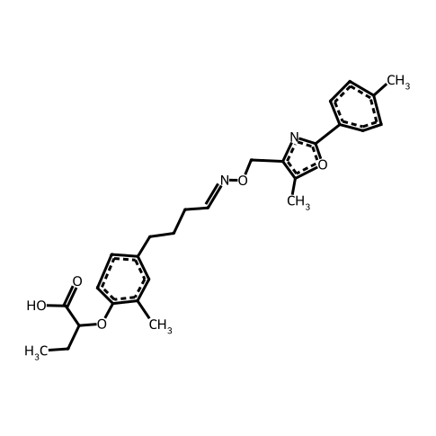 CCC(Oc1ccc(CCCC=NOCc2nc(-c3ccc(C)cc3)oc2C)cc1C)C(=O)O